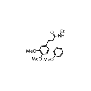 CCNC(=O)/C=C/c1ccc(OC)c(OC)c1.COc1ccccc1